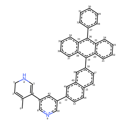 CC1=CCNC=C1c1cncc(-c2ccc3ccc(-c4c5ccccc5c(-c5ccccc5)c5ccccc45)cc3c2)c1